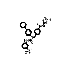 CS(=O)(=O)c1cccc(NC(=O)N(Cc2ccc(C(=O)Nc3nn[nH]n3)cc2)c2ccc(C3=CCCCC3)cc2)c1